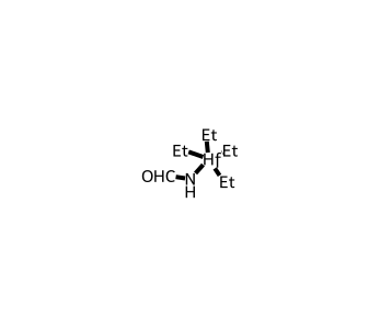 C[CH2][Hf]([CH2]C)([CH2]C)([CH2]C)[NH]C=O